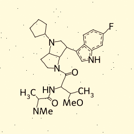 CNC(C)C(=O)NC(C(=O)N1CCC2C1C(c1c[nH]c3cc(F)ccc13)CN2C1CCCC1)C(C)OC